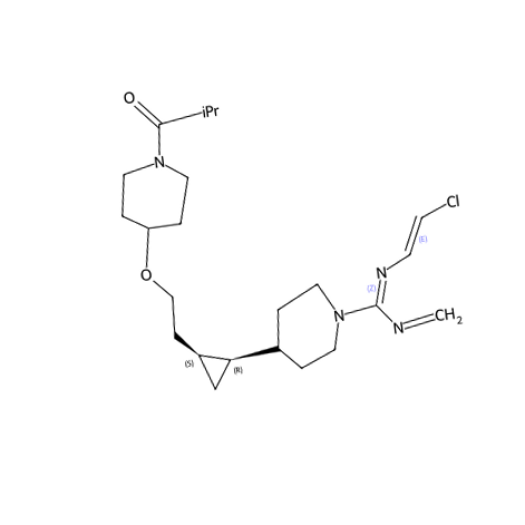 C=N/C(=N\C=C\Cl)N1CCC([C@H]2C[C@H]2CCOC2CCN(C(=O)C(C)C)CC2)CC1